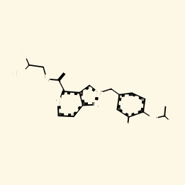 Cc1cc(Cn2cc3c(C(=O)NCC(C)O)nccc3n2)ccc1OC(F)F